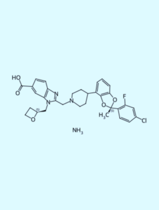 C[C@]1(c2ccc(Cl)cc2F)Oc2cccc(C3CCN(Cc4nc5ccc(C(=O)O)cc5n4C[C@@H]4CCO4)CC3)c2O1.N